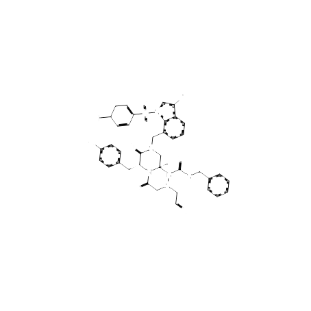 C=CCN1CC(=O)N2[C@@H](Cc3ccc(O)cc3)C(=O)N(Cc3cccc4c(C(C)=O)cn(S(=O)(=O)C5=CCC(Cl)C=C5)c34)C[C@@H]2N1C(=O)NCc1ccccc1